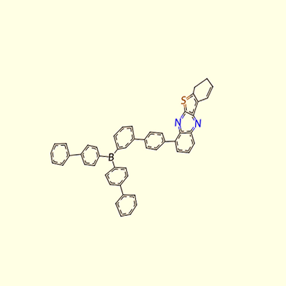 C1=Cc2c(sc3nc4c(-c5ccc(-c6cccc(B(c7ccc(-c8ccccc8)cc7)c7ccc(-c8ccccc8)cc7)c6)cc5)cccc4nc23)CC1